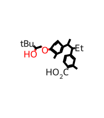 CCC(c1ccc(C(=O)O)c(C)c1)C(C)c1ccc(OCC(O)C(C)(C)C)c(C)c1